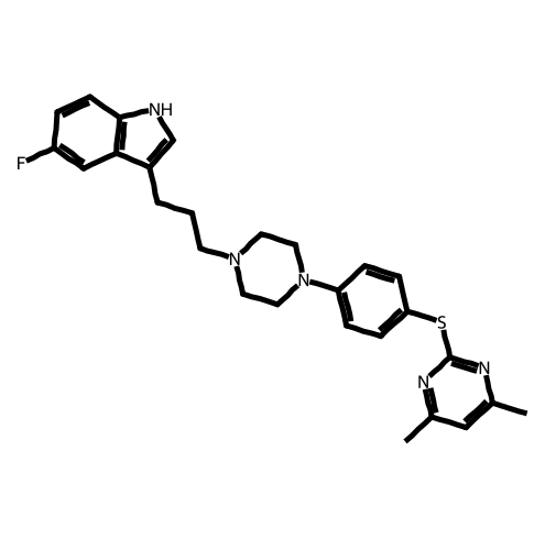 Cc1cc(C)nc(Sc2ccc(N3CCN(CCCc4c[nH]c5ccc(F)cc45)CC3)cc2)n1